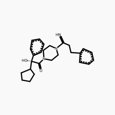 N=C(CCc1ccccc1)N1CCN(C(=O)[C@](O)(c2ccccc2)C2CCCC2)CC1